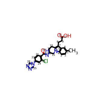 Cc1ccc2c(c1)c(CCC(=O)O)c1n2CC(NC(=O)c2ccc(-n3cnnc3)cc2Cl)CC1